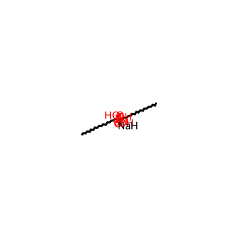 CCCCCCCCCCCCCCCCCCC(O)(C(=O)O)C(O)(CCCCCCCCCCCCCCCCCC)C(=O)O.[NaH]